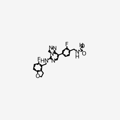 O=[SH](=O)NCc1ccc(-c2cnc(NCc3c(F)ccc4c3CCO4)n3cnnc23)cc1F